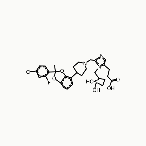 CC1(c2ccc(Cl)cc2F)Oc2cccc(C3CCN(Cc4ncc(CCC(=O)O)n4CC4CCS4(O)O)CC3)c2O1